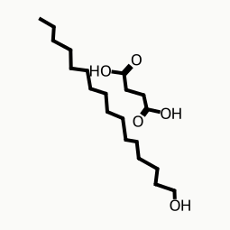 CCCCCCCCCCCCCCCCO.O=C(O)CCC(=O)O